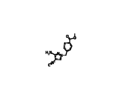 [C-]#[N+]c1cn(Cc2ccc(C(=O)OC)cc2)nc1N